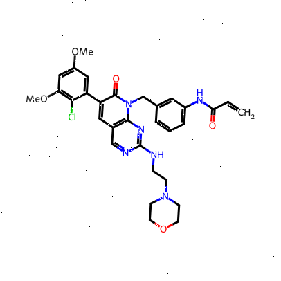 C=CC(=O)Nc1cccc(Cn2c(=O)c(-c3cc(OC)cc(OC)c3Cl)cc3cnc(NCCN4CCOCC4)nc32)c1